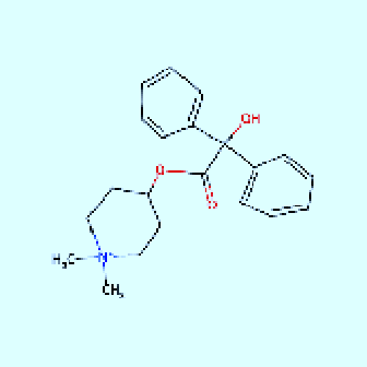 C[N+]1(C)CCC(OC(=O)C(O)(c2ccccc2)c2ccccc2)CC1